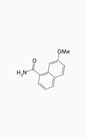 COc1ccc2cccc(C(N)=O)c2c1